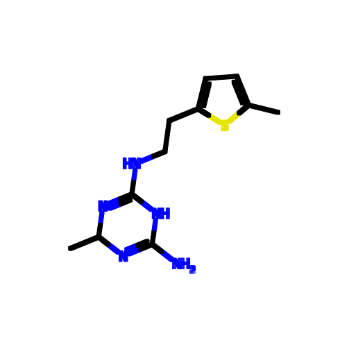 Cc1ccc(CCNC2=NC(C)N=C(N)N2)s1